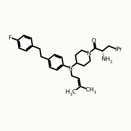 CC(C)=CCN(c1ccc(CCc2ccc(F)cc2)cc1)C1CCN(C(=O)[C@@H](N)CC(C)C)CC1